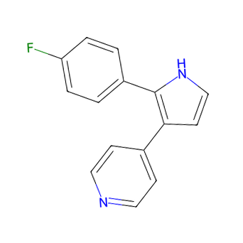 Fc1ccc(-c2[nH]ccc2-c2ccncc2)cc1